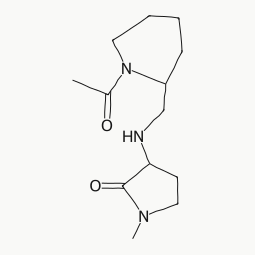 CC(=O)N1CCCCC1CNC1CCN(C)C1=O